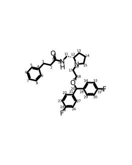 O=C(CCc1ccccc1)NC[C@@H]1CCCN1CCOC(c1ccc(F)cc1)c1ccc(F)cc1